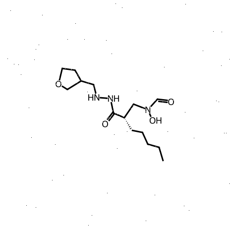 CCCCC[C@@H](CN(O)C=O)C(=O)NNCC1CCOC1